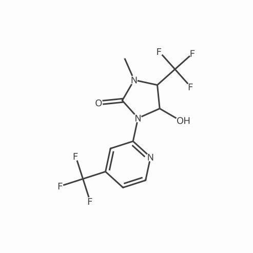 CN1C(=O)N(c2cc(C(F)(F)F)ccn2)C(O)C1C(F)(F)F